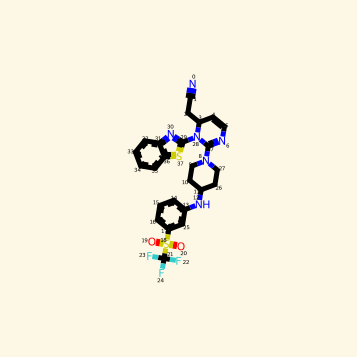 N#CCC1C=CN=C(N2CCC(Nc3cccc(S(=O)(=O)C(F)(F)F)c3)CC2)N1c1nc2ccccc2s1